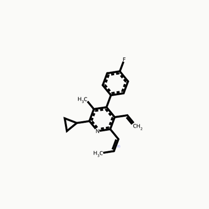 C=Cc1c(/C=C\C)nc(C2CC2)c(C)c1-c1ccc(F)cc1